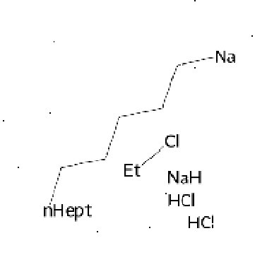 CCCCCCCCCCC[CH2][Na].CCCl.Cl.Cl.[NaH]